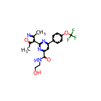 Cc1noc(C)c1-c1nc(C(=O)NCCO)cc(-c2ccc(OC(F)(F)F)cc2)n1